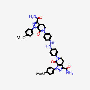 COc1ccc(-n2nc(C(N)=O)c3c2C(=O)N(c2ccc(NNc4ccc(N5CCc6c(C(N)=O)nn(-c7ccc(OC)cc7)c6C5=O)cc4)cc2)CC3)cc1